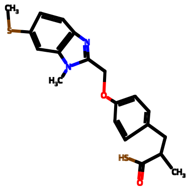 CSc1ccc2nc(COc3ccc(CC(C)C(=O)S)cc3)n(C)c2c1